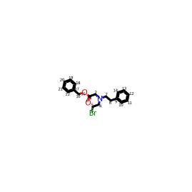 O=C(CN(CCBr)CCc1ccccc1)OCc1ccccc1